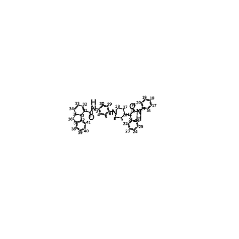 O=C(Nc1ccc(N2CCC(C(C(=O)Nc3ccccc3)c3ccccc3)CC2)cc1)C1=CC=CC2Cc3ccccc3C12